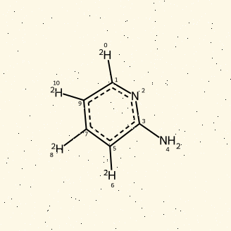 [2H]c1nc(N)c([2H])c([2H])c1[2H]